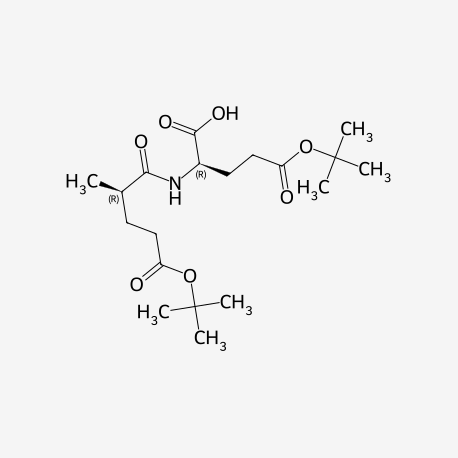 C[C@H](CCC(=O)OC(C)(C)C)C(=O)N[C@H](CCC(=O)OC(C)(C)C)C(=O)O